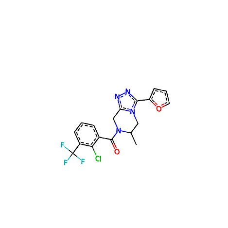 CC1Cn2c(nnc2-c2ccco2)CN1C(=O)c1cccc(C(F)(F)F)c1Cl